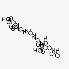 Cc1cc(N=Nc2cc(O)c(N=Nc3c(S(=O)(=O)O)cc4cc(NC(=O)c5ccccc5)ccc4c3O)cc2C)ccc1N=Nc1ccc(N=Nc2ccc(S(=O)(=O)O)cc2S(=O)(=O)O)c(C)c1